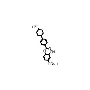 CCCCCCCCCc1ccc(OC(=O)c2ccc(C3CCC(CCC)CC3)cc2)c(C#N)c1